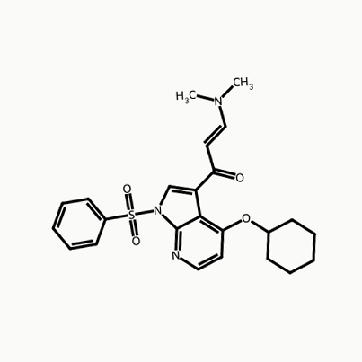 CN(C)C=CC(=O)c1cn(S(=O)(=O)c2ccccc2)c2nccc(OC3CCCCC3)c12